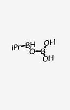 CC(C)BOB(O)O